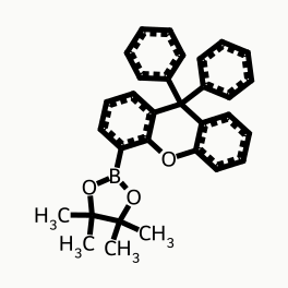 CC1(C)OB(c2cccc3c2Oc2ccccc2C3(c2ccccc2)c2ccccc2)OC1(C)C